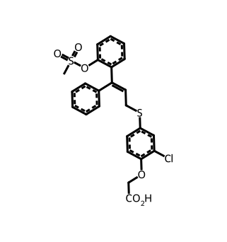 CS(=O)(=O)Oc1ccccc1C(=CCSc1ccc(OCC(=O)O)c(Cl)c1)c1ccccc1